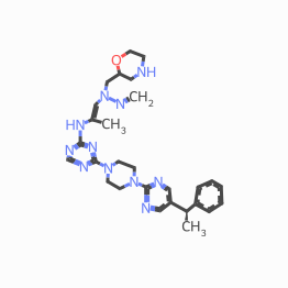 C=NN(/C=C(\C)Nc1ncnc(N2CCN(c3ncc([C@H](C)c4ccccc4)cn3)CC2)n1)CC1CNCCO1